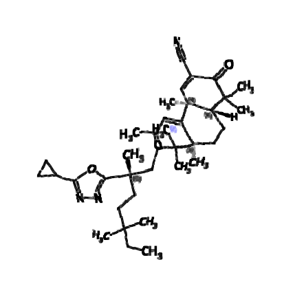 CCC(C)(C)CC[C@@](C)(CCC(C)(C)[C@]1(C)CC[C@H]2C(C)(C)C(=O)C(C#N)=C[C@]2(C)/C1=C/C(C)=O)c1nnc(C2CC2)o1